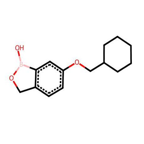 OB1OCc2ccc(OCC3CCCCC3)cc21